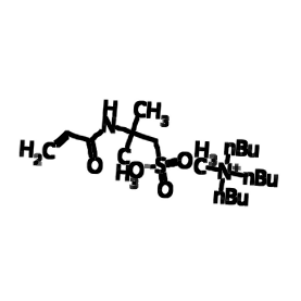 C=CC(=O)NC(C)(C)CS(=O)(=O)[O-].CCCC[N+](C)(CCCC)CCCC